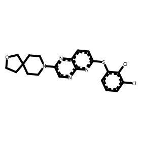 Clc1cccc(Sc2ccc3nc(N4CCC5(CCOC5)CC4)cnc3n2)c1Cl